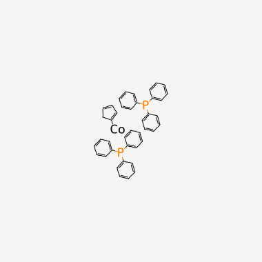 [Co][C]1=CC=CC1.c1ccc(P(c2ccccc2)c2ccccc2)cc1.c1ccc(P(c2ccccc2)c2ccccc2)cc1